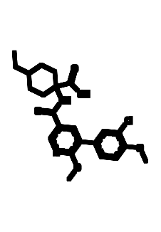 CCC1CCC(NC(=O)c2cnc(OC)c(-c3ccc(OC)c(Cl)c3)c2)(C(=O)O)CC1